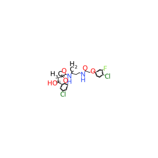 C=C(CCNC(=O)COc1ccc(Cl)c(F)c1)NC(=O)[C@@]1(C)C[C@@H](O)c2cc(Cl)ccc2O1